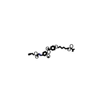 C#CCCOC(=O)/C=C/c1ccc(OC(=O)c2ccc(OCCCCCCOC(=O)C(=C)C)cc2)c(OC)c1